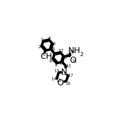 Cc1ccccc1-c1ccc(CN2CCOCC2)c(C(N)=O)c1